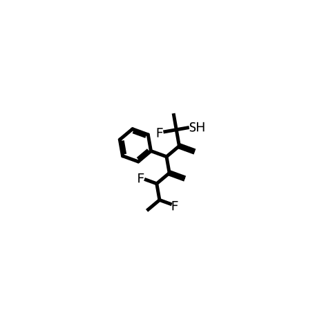 C=C(C(C(=C)C(C)(F)S)c1ccccc1)C(F)C(C)F